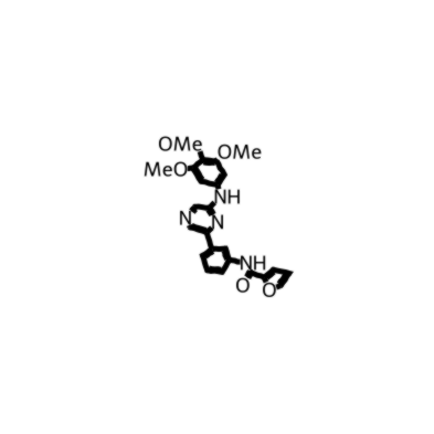 COc1cc(Nc2cncc(-c3cccc(NC(=O)c4ccco4)c3)n2)cc(OC)c1OC